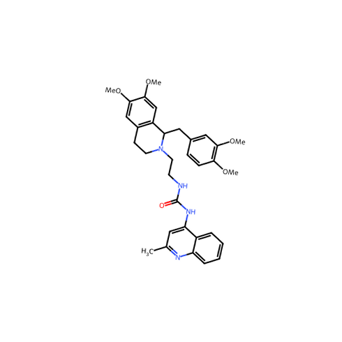 COc1ccc(CC2c3cc(OC)c(OC)cc3CCN2CCNC(=O)Nc2cc(C)nc3ccccc23)cc1OC